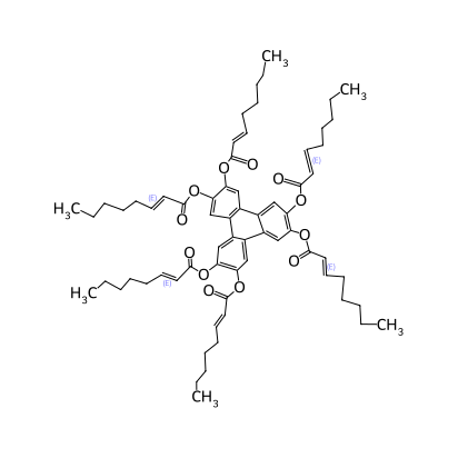 CCCCCC=CC(=O)Oc1cc2c(cc1OC(=O)/C=C/CCCCC)c1cc(OC(=O)/C=C/CCCCC)c(OC(=O)C=CCCCCC)cc1c1cc(OC(=O)/C=C/CCCCC)c(OC(=O)/C=C/CCCCC)cc21